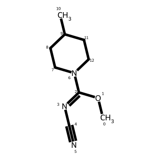 COC(=NC#N)N1CCC(C)CC1